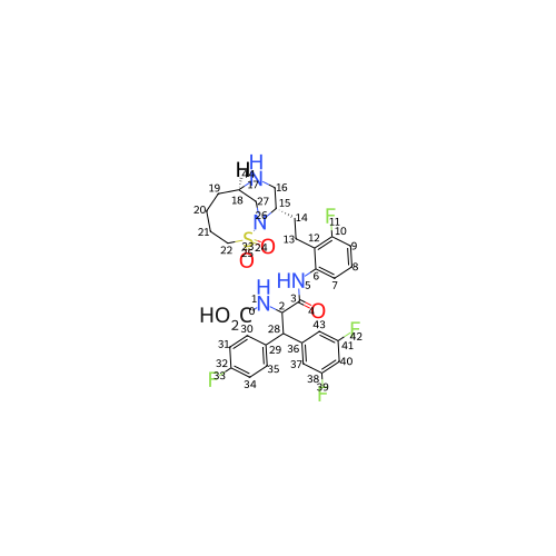 O=C(O)NC(C(=O)Nc1cccc(F)c1CC[C@H]1CN[C@@H]2CCCCS(=O)(=O)N1C2)C(c1ccc(F)cc1)c1cc(F)cc(F)c1